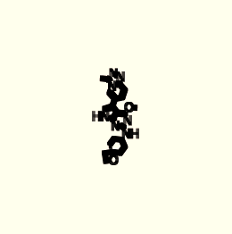 COc1nc(N[C@H]2CC[C@]3(CCO3)CC2)nc2[nH]cc(-c3ccc4nnc(C)n4c3)c12